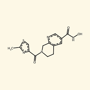 Cc1nc(C(=O)N2CCc3cc(C(=O)NO)cnc3C2)cs1